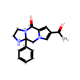 CC(=O)c1cc2n(c1)CC1(c3ccccc3)NCCN1C2=O